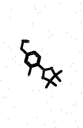 COCc1ccc(B2OC(C)(C)C(C)(C)O2)c(F)c1